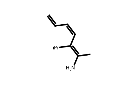 C=C/C=C\C(=C(/C)N)C(C)C